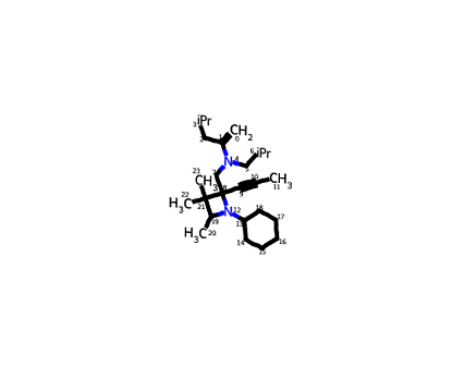 C=C(CC(C)C)N(CC(C)C)CC1(C#CC)N(C2CCCCC2)C(C)C1(C)C